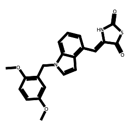 COc1ccc(OC)c(Cn2ccc3c(C=C4NC(=O)SC4=O)cccc32)c1